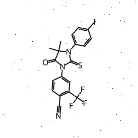 CC1(C)C(=O)N(c2ccc(C#N)c(C(F)(F)F)c2)C(=S)N1c1ccc(I)cc1